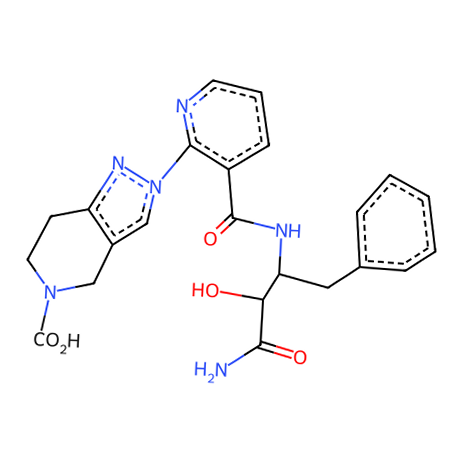 NC(=O)C(O)C(Cc1ccccc1)NC(=O)c1cccnc1-n1cc2c(n1)CCN(C(=O)O)C2